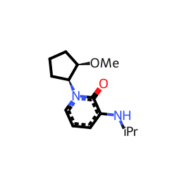 CO[C@@H]1CCC[C@@H]1n1cccc(NC(C)C)c1=O